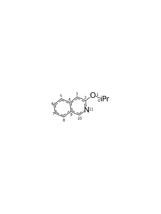 CC(C)Oc1cc2ccccc2cn1